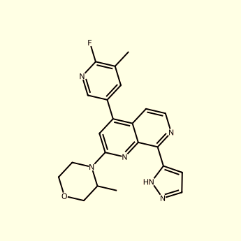 Cc1cc(-c2cc(N3CCOCC3C)nc3c(-c4ccn[nH]4)nccc23)cnc1F